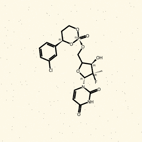 C[C@@]1(F)[C@H](O)C(CO[P@]2(=O)OCC[C@H](c3cccc(Cl)c3)O2)O[C@H]1n1ccc(=O)[nH]c1=O